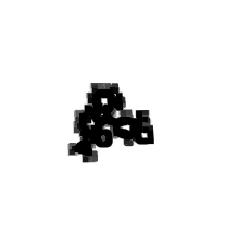 O=C1c2c(-c3ccc(Cl)c(F)c3)c3ncccc3n2CCN1C1CC1